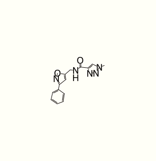 Cn1cc(C(=O)NCc2cc(-c3ccccc3)no2)nn1